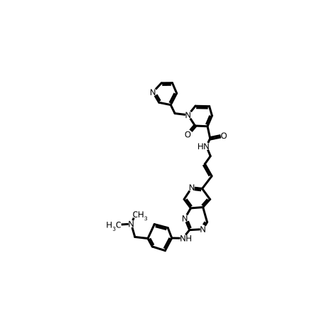 CN(C)Cc1ccc(Nc2ncc3cc(/C=C/CNC(=O)c4cccn(Cc5cccnc5)c4=O)ncc3n2)cc1